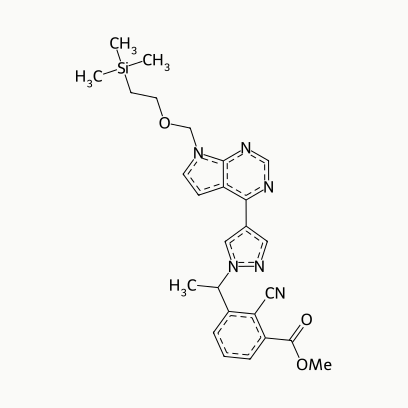 COC(=O)c1cccc(C(C)n2cc(-c3ncnc4c3ccn4COCC[Si](C)(C)C)cn2)c1C#N